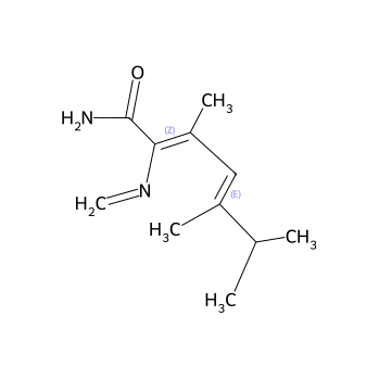 C=N/C(C(N)=O)=C(C)\C=C(/C)C(C)C